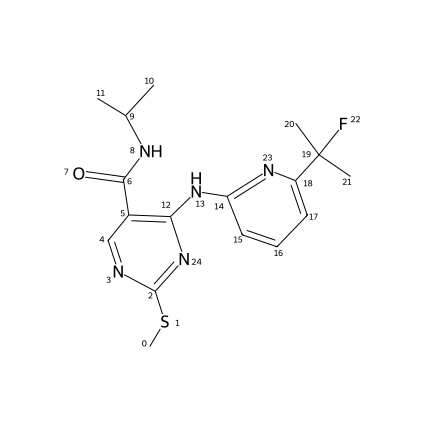 CSc1ncc(C(=O)NC(C)C)c(Nc2cccc(C(C)(C)F)n2)n1